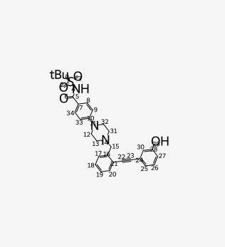 CC(C)(C)S(=O)(=O)NC(=O)c1ccc(N2CCN(Cc3ccccc3C#Cc3cccc(O)c3)CC2)cc1